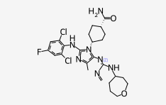 C=N/C(=N\c1c(C)nc(Nc2c(Cl)cc(F)cc2Cl)n1[C@H]1CC[C@@H](C(N)=O)CC1)NC1CCCOCC1